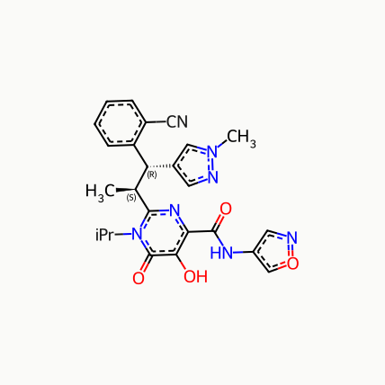 CC(C)n1c([C@@H](C)[C@@H](c2cnn(C)c2)c2ccccc2C#N)nc(C(=O)Nc2cnoc2)c(O)c1=O